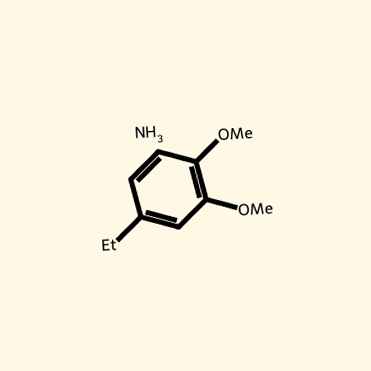 CCc1ccc(OC)c(OC)c1.N